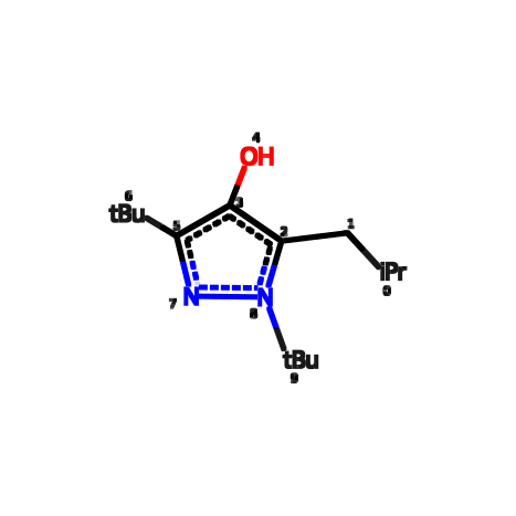 CC(C)Cc1c(O)c(C(C)(C)C)nn1C(C)(C)C